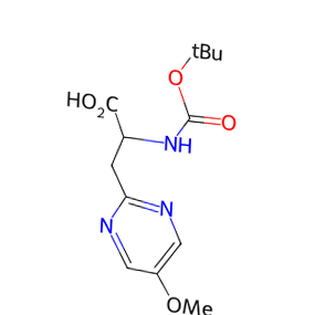 COc1cnc(CC(NC(=O)OC(C)(C)C)C(=O)O)nc1